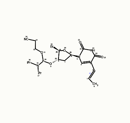 C/C=C/c1cn([C@H]2C[C@H](OP(OCCC#N)N(C(C)C)C(C)C)[C@@H](CC)O2)c(=O)[nH]c1=O